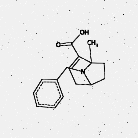 CC12CCC(CC=C1C(=O)O)N2Cc1ccccc1